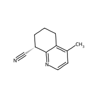 Cc1ccnc2c1CCC[C@H]2C#N